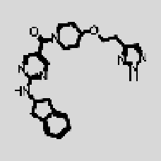 O=C(c1cnc(NC2Cc3ccccc3C2)nc1)N1CCC(OCCc2cn[nH]n2)CC1